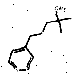 COC(C)(C)CSCc1ccncc1